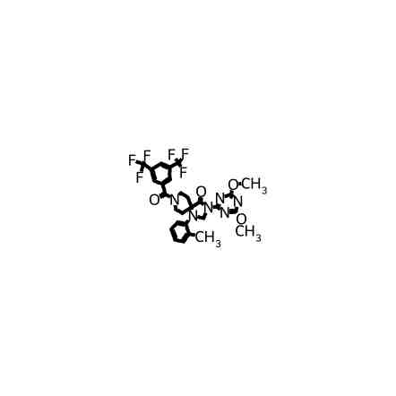 COc1nc(OC)nc(N2CN(c3ccccc3C)C3(CCN(C(=O)c4cc(C(F)(F)F)cc(C(F)(F)F)c4)CC3)C2=O)n1